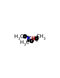 Cc1ccc(CN(C)CC(C)[C@H]2CCC[C@@H](Oc3cccc(C)c3)C2)cc1